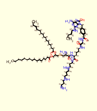 CCCCCCCCCCCCCCCC(=O)OCC(CSC[C@H](N)C(=O)N[C@@H](CCCCNC(=O)CNC(=O)c1ccc(Cn2c(O)nc3c(N)nc(NCCCC)nc32)cc1)C(=O)NCCCNCCCCNCCCN)OC(=O)CCCCCCCCCCCCCCC